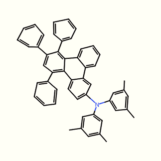 Cc1cc(C)cc(N(c2cc(C)cc(C)c2)c2ccc3c(c2)c2ccccc2c2c(-c4ccccc4)c(-c4ccccc4)cc(-c4ccccc4)c32)c1